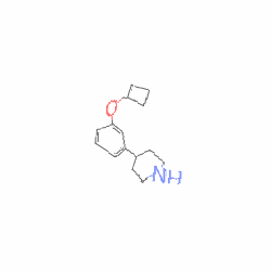 c1cc(OC2CCC2)cc(C2CCNCC2)c1